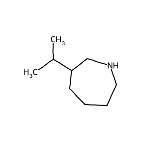 CC(C)C1CCCCNC1